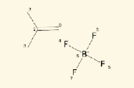 C=C(C)C.F[B-](F)(F)F